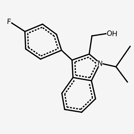 CC(C)n1c(CO)c(-c2ccc(F)cc2)c2ccccc21